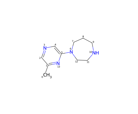 Cc1cncc(N2CCCNCC2)n1